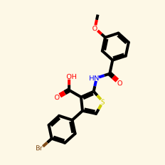 COc1cccc(C(=O)Nc2scc(-c3ccc(Br)cc3)c2C(=O)O)c1